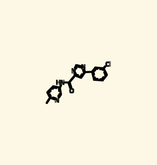 Cc1ccc(NC(=O)c2cc(-c3cccc(Cl)c3)ncn2)cn1